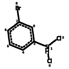 Cl[SiH](Cl)c1cccc(Br)c1